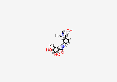 CC(C)c1cc(C(=O)N2Cc3ccc(C(CO)N(C)C)cc3C2)c(O)cc1O